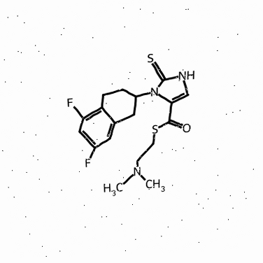 CN(C)CCSC(=O)c1c[nH]c(=S)n1C1CCc2c(F)cc(F)cc2C1